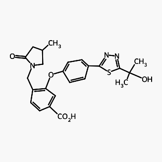 CC1CC(=O)N(Cc2ccc(C(=O)O)cc2Oc2ccc(-c3nnc(C(C)(C)O)s3)cc2)C1